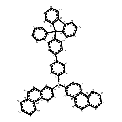 c1ccc(C2(c3ccc(-c4ccc(N(c5ccc6c(ccc7ccccc76)c5)c5ccc6c(ccc7ccccc76)c5)cc4)cc3)c3ccccc3-c3ccccc32)cc1